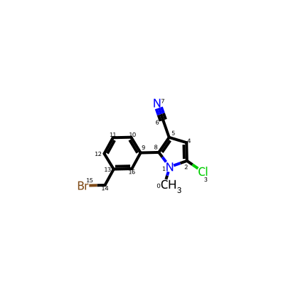 Cn1c(Cl)cc(C#N)c1-c1cccc(CBr)c1